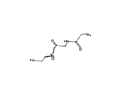 O=C(CS)NCC(=O)NCCS